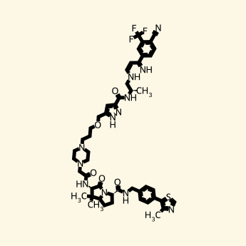 Cc1ncsc1-c1ccc(CNC(=O)[C@@H]2CCC3N2C(=O)[C@@H](NC(=O)CN2CCN(CCCOCc4cc(C(=O)N[C@@H](C)CN/C=C\C(=N)c5ccc(C#N)c(C(F)(F)F)c5)n[nH]4)CC2)C3(C)C)cc1